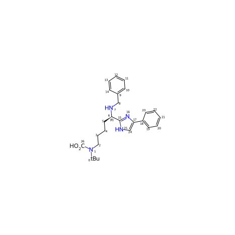 CC(C)(C)N(CCCC[C@@H](NCc1ccccc1)c1nc(-c2ccccc2)c[nH]1)C(=O)O